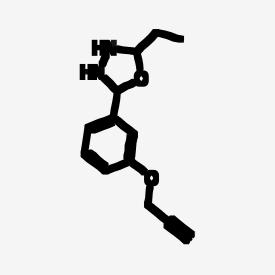 C#CCOc1cccc(C2NNC(CC)O2)c1